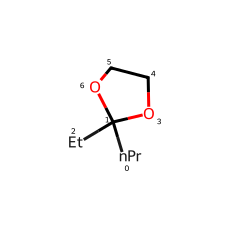 CCCC1(CC)OCCO1